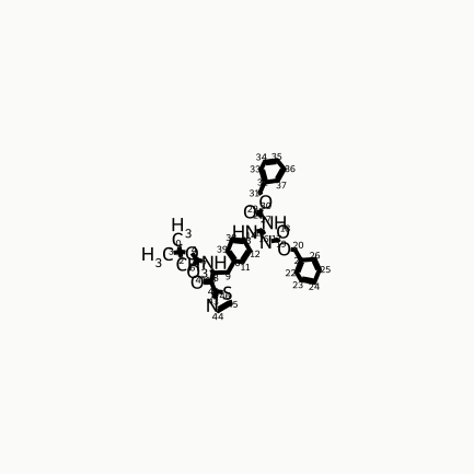 CC(C)(C)OC(=O)NC(Cc1ccc(NC(=NC(=O)OCc2ccccc2)NC(=O)OCc2ccccc2)cc1)C(=O)c1nccs1